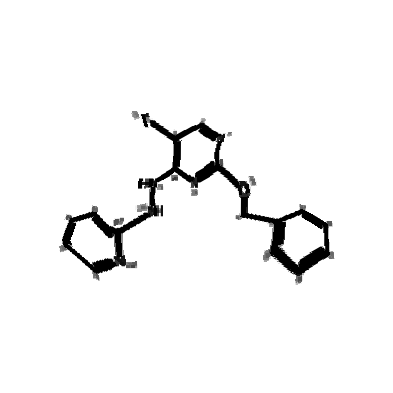 Fc1cnc(OCc2ccccc2)nc1NNc1ccccn1